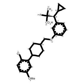 COc1ccc(Cl)c(C2CCC(COc3cccc([C@H](C4CC4)C(C)(F)C(=O)O)c3)CC2)c1